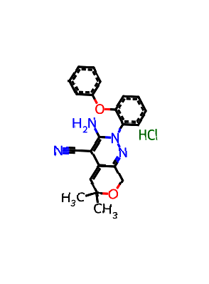 CC1(C)C=C2C(=NN(c3ccccc3Oc3ccccc3)C(N)=C2C#N)CO1.Cl